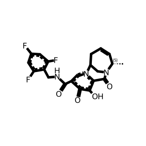 C[C@H]1C=CCC2CN1C(=O)c1c(O)c(=O)c(C(=O)NCc3c(F)cc(F)cc3F)cn12